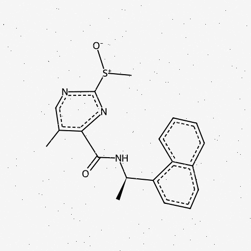 Cc1cnc([S+](C)[O-])nc1C(=O)N[C@H](C)c1cccc2ccccc12